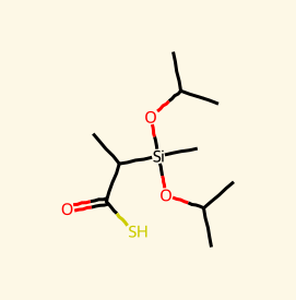 CC(C)O[Si](C)(OC(C)C)C(C)C(=O)S